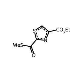 CCOC(=O)c1csc(C(=O)SC)n1